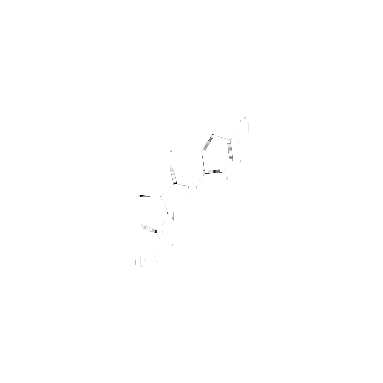 C[C@H](NC(=O)OC(C)(C)C)C(=O)Oc1ccc(O)cc1